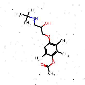 CC(=O)Oc1c(C)cc(OCC(O)CNC(C)(C)C)c(C)c1C